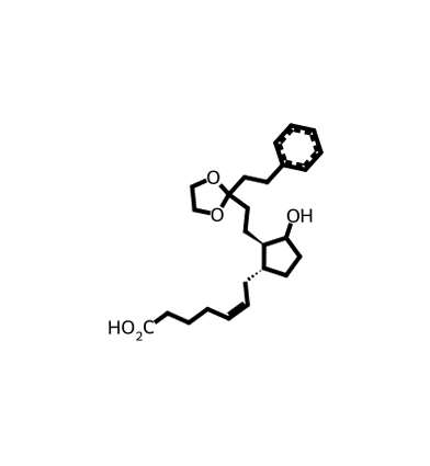 O=C(O)CCC/C=C\C[C@H]1CCC(O)[C@@H]1CCC1(CCc2ccccc2)OCCO1